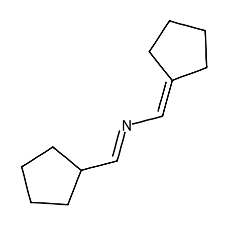 C(=NC=C1CCCC1)C1CCCC1